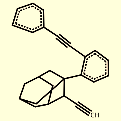 C#CC1C2CC3CC(C2)CC1(c1ccccc1C#Cc1ccccc1)C3